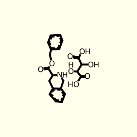 O=C(O)C(O)C(O)C(=O)O.O=C(OCc1ccccc1)C1Cc2ccccc2CN1